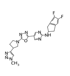 Cn1cc(C2CCN(c3nnc(-c4cnc(NC5Cc6cc(F)c(F)cc6C5)nc4)o3)C2)nn1